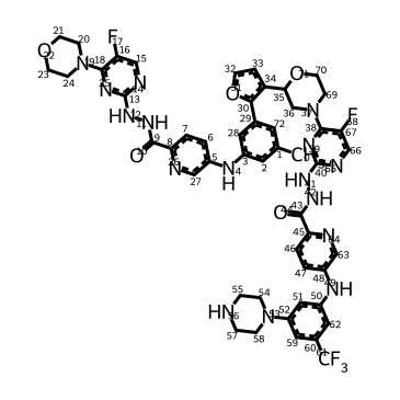 Cc1cc(Nc2ccc(C(=O)NNc3ncc(F)c(N4CCOCC4)n3)nc2)cc(-c2occc2C2CN(c3nc(NNC(=O)c4ccc(Nc5cc(N6CCNCC6)cc(C(F)(F)F)c5)cn4)ncc3F)CCO2)c1